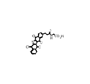 O=C(O)CNC(=O)CCc1ccc2c(=O)c3sc4c(=O)c5ccccc5c(=O)c4c3c(=O)c2c1